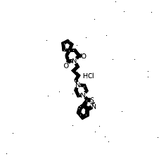 Cl.O=C1CC2(CCCC2)CC(=O)N1CCCCN1CCN(c2snc3ccccc23)CC1